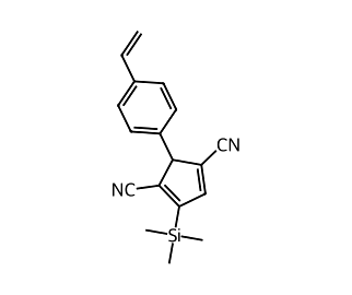 C=Cc1ccc(C2C(C#N)=CC([Si](C)(C)C)=C2C#N)cc1